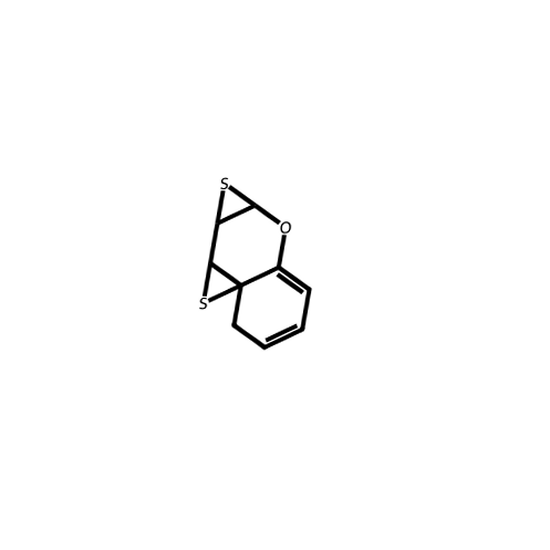 C1=CCC23SC2C2SC2OC3=C1